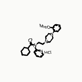 COc1ccccc1N1CCN(CCN(C(=O)C2CCCCC2)c2ccccn2)CC1.Cl